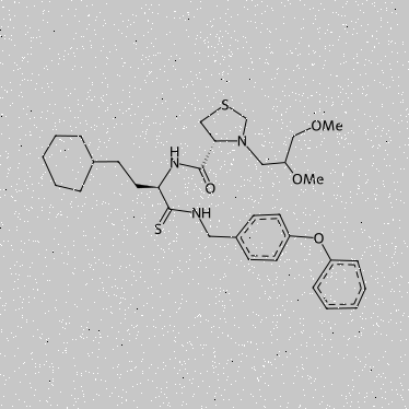 COCC(CN1CSC[C@H]1C(=O)N[C@H](CCC1CCCCC1)C(=S)NCc1ccc(Oc2ccccc2)cc1)OC